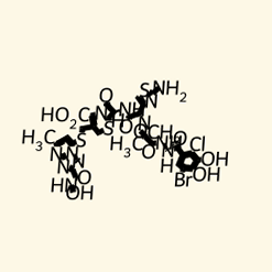 Cc1cc(SCC2=C(C(=O)O)N3C(=O)[C@@H](NC(=O)/C(=N\OC(C)(C)C(=O)NNC(=O)c4cc(Br)c(O)c(O)c4Cl)c4csc(N)n4)[C@H]3SC2)n2nc(C(=O)NO)nc2n1